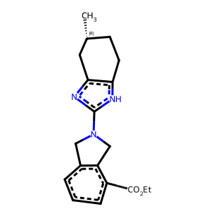 CCOC(=O)c1cccc2c1CN(c1nc3c([nH]1)CC[C@@H](C)C3)C2